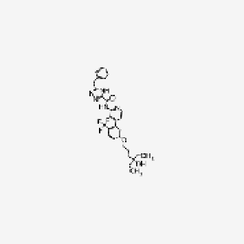 CCC(O)(CC)CCCOc1ccc(C(F)(F)F)c(-c2ccnc(NC(=O)c3nnc(Cc4ccccc4)[nH]3)c2)c1